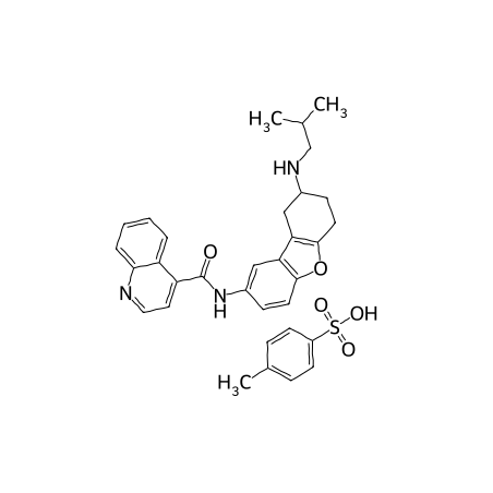 CC(C)CNC1CCc2oc3ccc(NC(=O)c4ccnc5ccccc45)cc3c2C1.Cc1ccc(S(=O)(=O)O)cc1